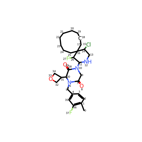 Cc1ccc(CN2C(=O)CN(C3NCC(Cl)C4(CCCCCCCCC4)C3F)C(=O)C2C2COC2)cc1F